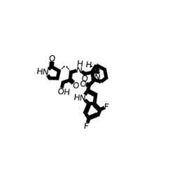 O=C1NCC[C@H]1C[C@H](NC(=O)[C@H]1C2CCC(CC2)N1C(=O)c1cc2c(F)cc(F)cc2[nH]1)C(=O)CO